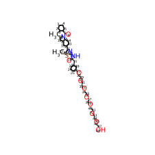 Cc1ccccc1C(=O)n1ccc2cc(-c3nc(NC(=O)Cc4cccc(OCCOCCOCCOCCOCCOCCOCCO)c4)sc3C)ccc21